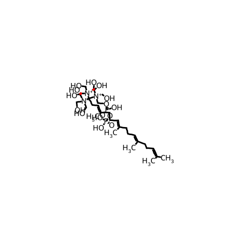 CC(C)=CCC/C(C)=C/CC/C(C)=C/CC/C(C)=C/CC([N+](CO)(CO)CO)([N+](CO)(CO)CO)[N+](CO)(CO)COP(=O)(O)OP(=O)(O)O